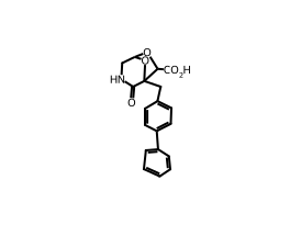 O=C(O)C1OC2CNC(=O)C1(Cc1ccc(-c3ccccc3)cc1)O2